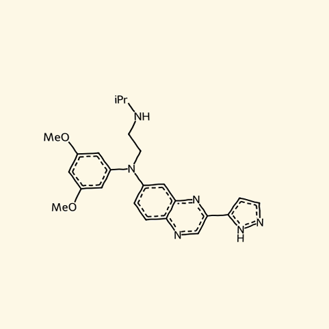 COc1cc(OC)cc(N(CCNC(C)C)c2ccc3ncc(-c4ccn[nH]4)nc3c2)c1